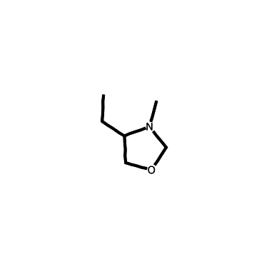 CCC1COCN1C